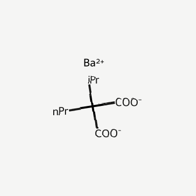 CCCC(C(=O)[O-])(C(=O)[O-])C(C)C.[Ba+2]